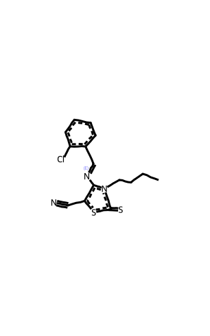 CCCCn1c(/N=C/c2ccccc2Cl)c(C#N)sc1=S